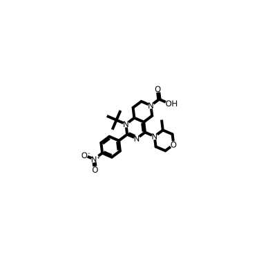 CC1COCCN1C1=C2CN(C(=O)O)CCC2N(C(C)(C)C)C(c2ccc([N+](=O)[O-])cc2)=N1